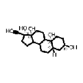 C#C[C@]1(O)CCC2C3CC[C@H]4C[C@H](O)CC[C@]4(C)C3CC[C@@]21C